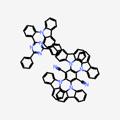 N#Cc1c(-n2c3ccccc3c3ccccc32)c(-n2c3ccccc3c3ccccc32)c(C#N)c(-n2c3ccccc3c3cc(-c4ccc5c(c4)c4ccccc4n5-c4ccccc4-c4nc(-c5ccccc5)nc(-c5ccccc5)n4)ccc32)c1-n1c2ccccc2c2ccccc21